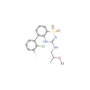 CCOC(C)CNC1=NS(=O)(=O)c2cccc(-c3cccc(F)c3Cl)c2N1